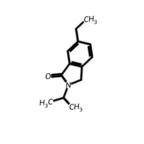 CCc1ccc2c(c1)C(=O)N(C(C)C)C2